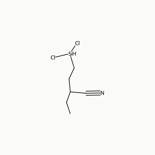 CCC(C#N)CC[SiH](Cl)Cl